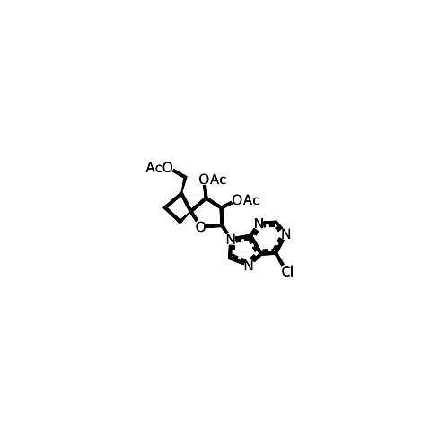 CC(=O)OC[C@@H]1CC[C@@]12OC(n1cnc3c(Cl)ncnc31)C(OC(C)=O)C2OC(C)=O